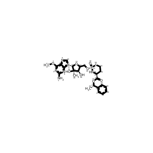 COc1nc(N)nc2c1ncn2[C@@H]1OC(CO[P@@]2(=O)N[C@H](C(=O)O[C@@H](C)c3ccccc3)CCS2)[C@@H](O)[C@@]1(C)O